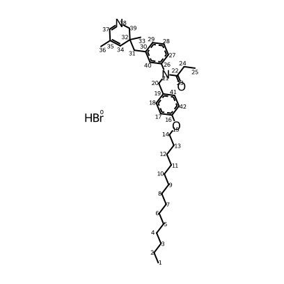 Br.CCCCCCCCCCCCCCOc1ccc(CN(C(=O)CC)c2cccc(CC3(C)C=C(C)C=NC3)c2)cc1